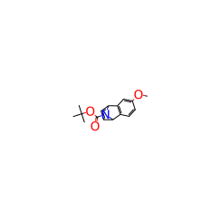 COc1ccc2c(c1)C1=C=CC2N1C(=O)OC(C)(C)C